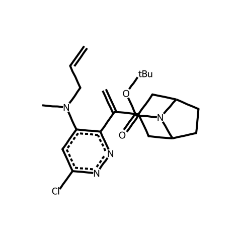 C=CCN(C)c1cc(Cl)nnc1C(=C)C1CC2CCC(C1)N2C(=O)OC(C)(C)C